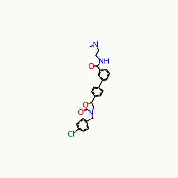 CN(C)CCNC(=O)c1cccc(-c2ccc(C3CN(Cc4ccc(Cl)cc4)C(=O)O3)cc2)c1